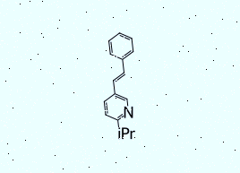 CC(C)c1ccc(/C=C/c2ccccc2)cn1